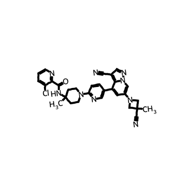 CC1(C#N)CN(c2cc(-c3ccc(N4CCC(C)(NC(=O)c5ncccc5Cl)CC4)nc3)c3c(C#N)cnn3c2)C1